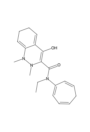 CCN(C(=O)C1=C(O)C2=CCCC=C2N(C)N1C)C1=CC=CCC=C1